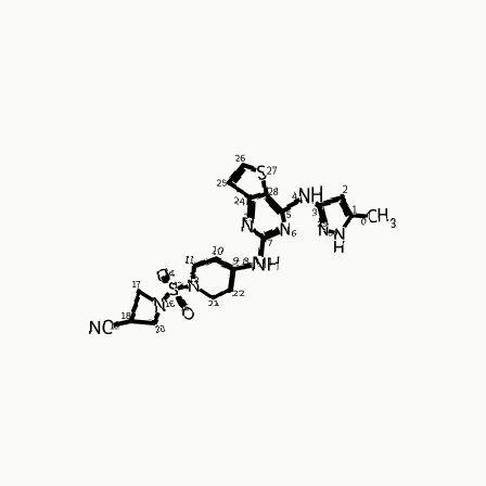 Cc1cc(Nc2nc(NC3CCN(S(=O)(=O)N4CC(C#N)C4)CC3)nc3ccsc23)n[nH]1